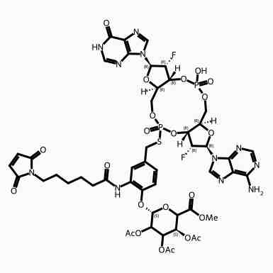 COC(=O)C1O[C@@H](Oc2ccc(CSP3(=O)OC[C@H]4O[C@@H](n5cnc6c(=O)[nH]cnc65)[C@H](F)[C@@H]4OP(=O)(O)OC[C@H]4O[C@@H](n5cnc6c(N)ncnc65)[C@H](F)[C@@H]4O3)cc2NC(=O)CCCCCN2C(=O)C=CC2=O)C(OC(C)=O)C(OC(C)=O)[C@@H]1OC(C)=O